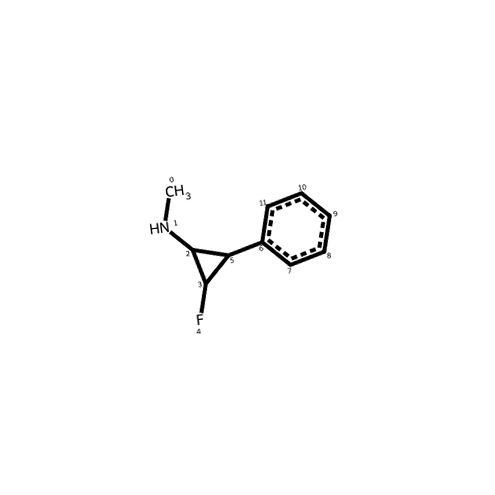 CNC1C(F)C1c1ccccc1